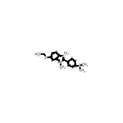 CCOc1ccc2sc(-c3ccc(N(C)C)cc3)[n+](C)c2c1.[Cl-]